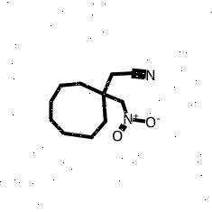 N#CCC1(C[N+](=O)[O-])CCCCCCC1